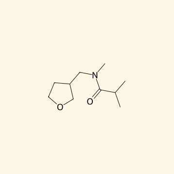 CC(C)C(=O)N(C)CC1CCOC1